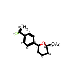 C=C(F)c1ccc(C2CCCC(OC(C)=O)O2)cc1